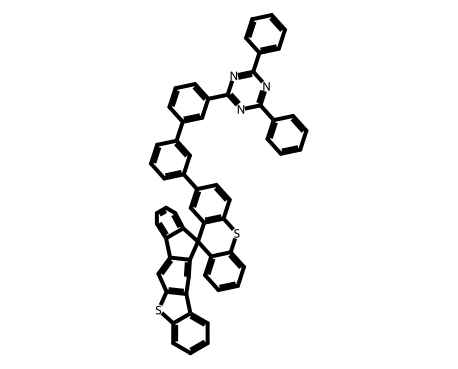 c1ccc(-c2nc(-c3ccccc3)nc(-c3cccc(-c4cccc(-c5ccc6c(c5)C5(c7ccccc7S6)c6ccccc6-c6cc7sc8ccccc8c7cc65)c4)c3)n2)cc1